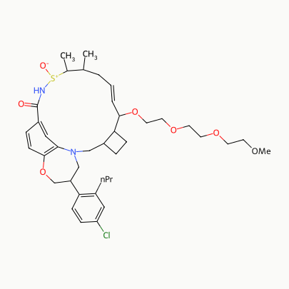 CCCc1cc(Cl)ccc1C1COc2ccc3cc2N(C1)CC1CCC1C(OCCOCCOCCOC)/C=C/CC(C)C(C)[S+]([O-])NC3=O